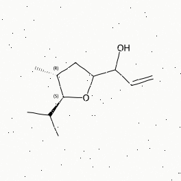 C=CC(O)C1C[C@@H](C)[C@H](C(C)C)O1